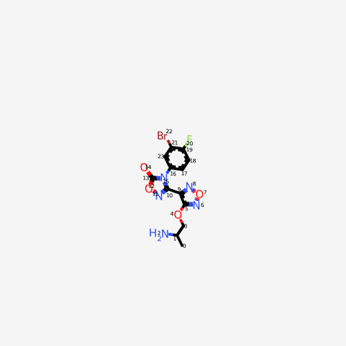 CC(N)COc1nonc1-c1noc(=O)n1-c1ccc(F)c(Br)c1